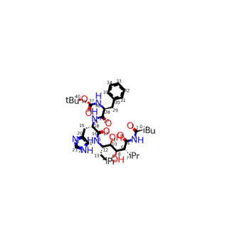 CC[C@H](C)C(=O)NC(=O)[C@H](C(C)C)[C@@H](O)[C@H](O)[C@H](CC(C)C)NC(=O)[C@H](Cc1c[nH]cn1)NC(=O)[C@H](Cc1ccccc1)NC(=O)OC(C)(C)C